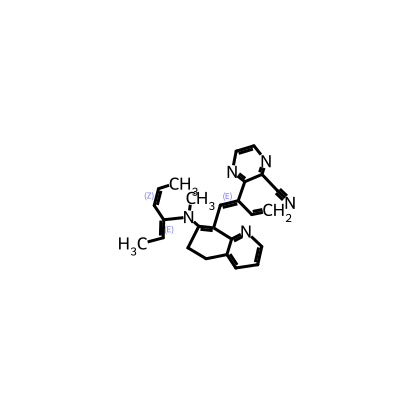 C=C/C(=C\C1=C(N(C)C(/C=C\C)=C/C)CCc2cccnc21)c1nccnc1C#N